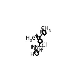 Cc1cccc(-c2nn(C)c3cc(C(=O)N[C@@H]4C[C@@H]5CC[C@H]4N5C#N)c(Cl)cc23)n1